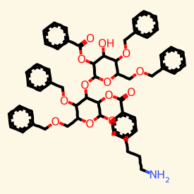 NCCCCCOC1OC(COCc2ccccc2)C(OCc2ccccc2)C(OC2OC(COCc3ccccc3)C(OCc3ccccc3)C(O)C2OC(=O)c2ccccc2)C1OC(=O)c1ccccc1